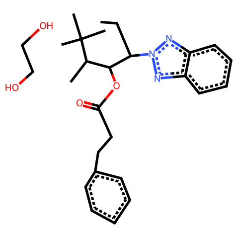 CCC(C(OC(=O)CCc1ccccc1)C(C)C(C)(C)C)n1nc2ccccc2n1.OCCO